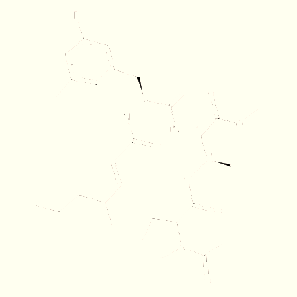 CCCC(C)/C=C/C(=O)N[C@@H](Cc1cc(F)cc(F)c1)C(=O)N[C@H](C(=O)OC)[C@@H](C)OC(=O)C1CCCN1C(C)=O